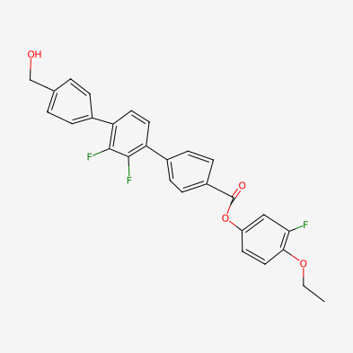 CCOc1ccc(OC(=O)c2ccc(-c3ccc(-c4ccc(CO)cc4)c(F)c3F)cc2)cc1F